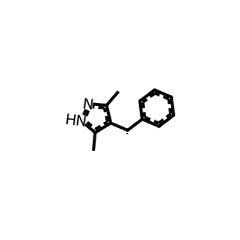 Cc1n[nH]c(C)c1[CH]c1ccccc1